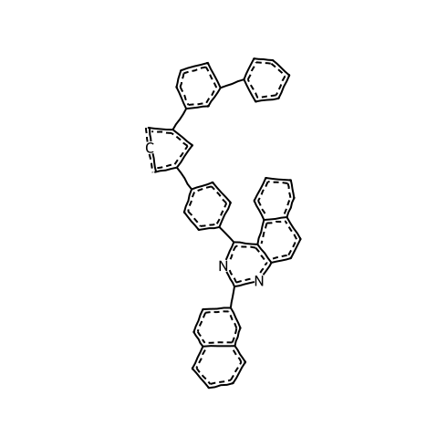 c1ccc(-c2cccc(-c3cccc(-c4ccc(-c5nc(-c6ccc7ccccc7c6)nc6ccc7ccccc7c56)cc4)c3)c2)cc1